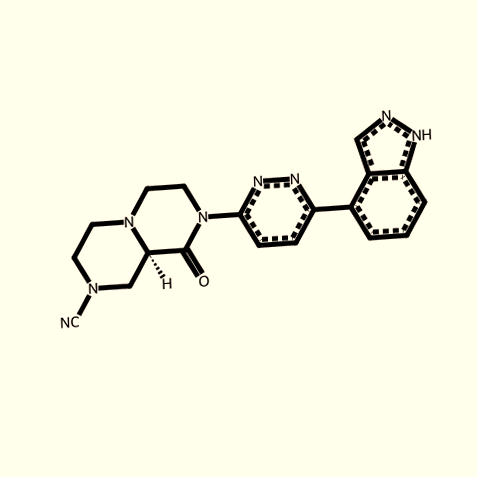 N#CN1CCN2CCN(c3ccc(-c4cccc5[nH]ncc45)nn3)C(=O)[C@H]2C1